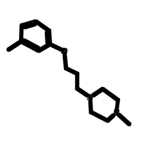 Cc1cccc(OCCCN2CCN(C)CC2)c1